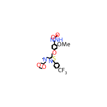 COc1cc(OCc2sc(-c3ccc(C(F)(F)F)cc3)nc2CN(C)CC2COCCO2)ccc1-c1noc(=O)[nH]1